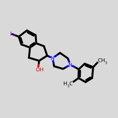 Cc1ccc(C)c(N2CCN(C3Cc4ccc(I)cc4CC3O)CC2)c1